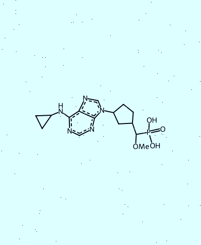 COC(C1CCC(n2cnc3c(NC4CC4)ncnc32)C1)P(=O)(O)O